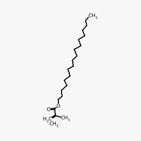 C=C(C)C(=O)OCCCCCCCCCCCCCCCCCC.[CH3]